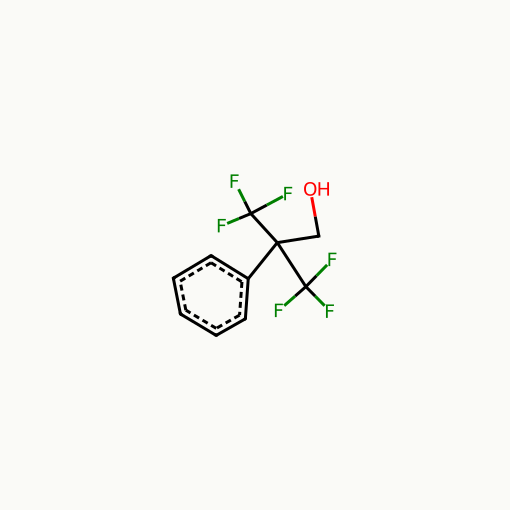 OCC(c1ccccc1)(C(F)(F)F)C(F)(F)F